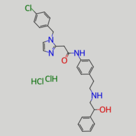 Cl.Cl.O=C(Cc1nccn1Cc1ccc(Cl)cc1)Nc1ccc(CCNCC(O)c2ccccc2)cc1